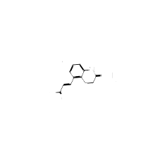 C=C1CCc2c(/C=C/C(=O)O)cccc2N1.Cl